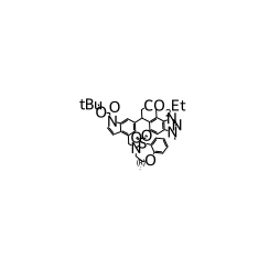 CCOC(=O)CC(c1cc(CN2C[C@@H](C)Oc3ccccc3S2(=O)=O)c2ccn(C(=O)OC(C)(C)C)c2c1)c1ccc2c(nnn2C)c1C